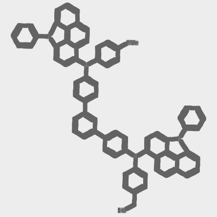 COc1ccc(N(c2ccc(-c3cccc(-c4ccc(N(c5ccc(CO)cc5)c5ccc6c7c5ccc5cccc(c57)n6-c5ccccc5)cc4)c3)cc2)c2ccc3c4c2ccc2cccc(c24)n3-c2ccccc2)cc1